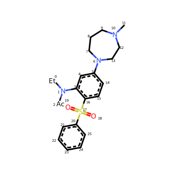 CCN(C(C)=O)c1cc(N2CCCN(C)CC2)ccc1S(=O)(=O)c1ccccc1